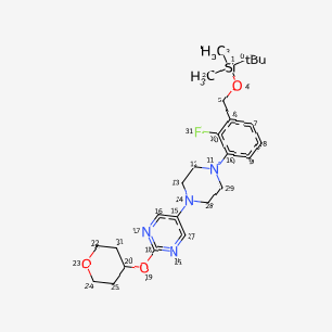 CC(C)(C)[Si](C)(C)OCc1cccc(N2CCN(c3cnc(OC4CCOCC4)nc3)CC2)c1F